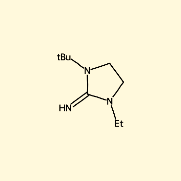 CCN1CCN(C(C)(C)C)C1=N